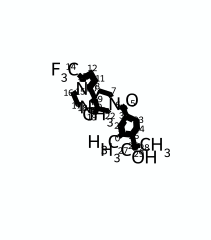 Cc1cc(C(=O)N2CC[C@@]3(c4ccc(C(F)(F)F)n4CCN3C)C(F)C2)ccc1C(C)(C)O